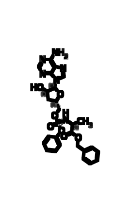 C[C@H](N[P@](=O)(OC[C@@H]1C[C@@H](O)[C@H](n2cnc3c(N)ncnc32)O1)Oc1ccccc1)C(=O)OCc1ccccc1